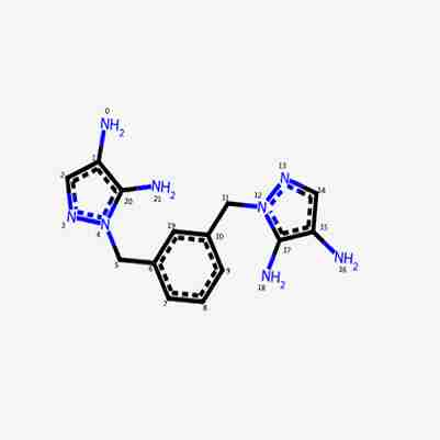 Nc1cnn(Cc2cccc(Cn3ncc(N)c3N)c2)c1N